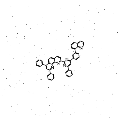 c1ccc(-c2cc(-c3cccc(-c4cccc5cccnc45)c3)nc(-c3ccc4ccc5c(-c6ccccc6)cc(-c6ccccc6)nc5c4n3)n2)cc1